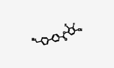 CCC(C)Cc1ccc(-c2ccc(C(=O)Oc3ccc(C#N)c(F)c3F)cc2)cc1